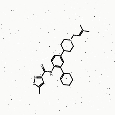 CC(C)=CCN1CCC(c2ccc(NC(=O)c3cc(C)on3)c(C3=CCCCC3)c2)CC1